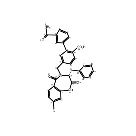 NC(=O)c1cccc(-c2cc(CN3C(=O)c4ccc(Cl)cc4NC(=O)[C@H]3Cc3ccccn3)ccc2C(=O)O)c1